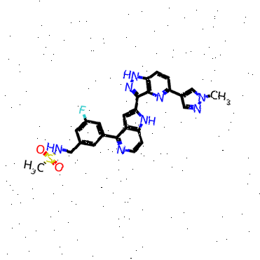 Cn1cc(-c2ccc3[nH]nc(-c4cc5c(-c6cc(F)cc(CNS(C)(=O)=O)c6)nccc5[nH]4)c3n2)cn1